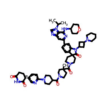 CC(C)n1cnc2cc(-c3ccc4c(c3)N(C3CC(N5CCCCC5)C3)C(=O)C43CCN(C(=O)C4(C)CCN(C(=O)C5CCN(c6ccc([C@H]7CCC(=O)NC7=O)cn6)CC5)CC4)CC3)nc(NC3CCOCC3)c21